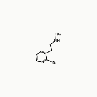 CCc1ncccc1CCNC(C)(C)C